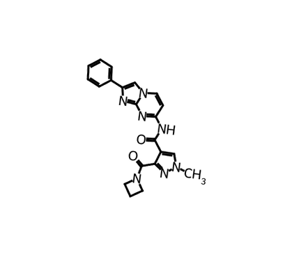 Cn1cc(C(=O)Nc2ccn3cc(-c4ccccc4)nc3n2)c(C(=O)N2CCC2)n1